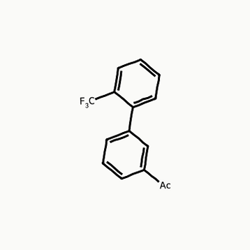 CC(=O)c1cccc(-c2ccccc2C(F)(F)F)c1